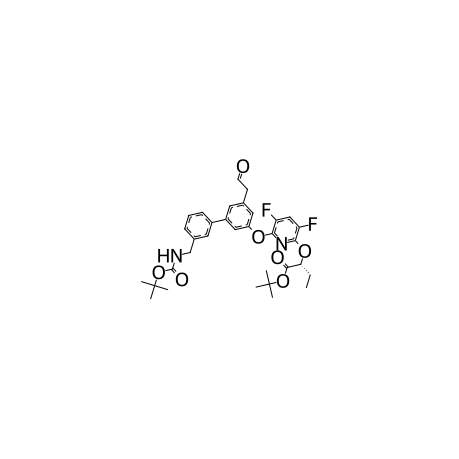 CC[C@@H](Oc1nc(Oc2cc(CC=O)cc(-c3cccc(CNC(=O)OC(C)(C)C)c3)c2)c(F)cc1F)C(=O)OC(C)(C)C